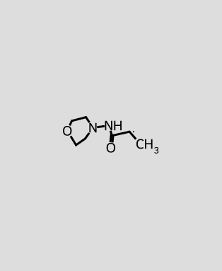 C[CH]C(=O)NN1CCOCC1